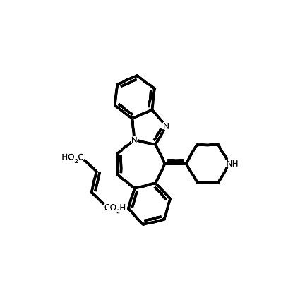 C1=Cn2c(nc3ccccc32)C(=C2CCNCC2)c2ccccc21.O=C(O)/C=C/C(=O)O